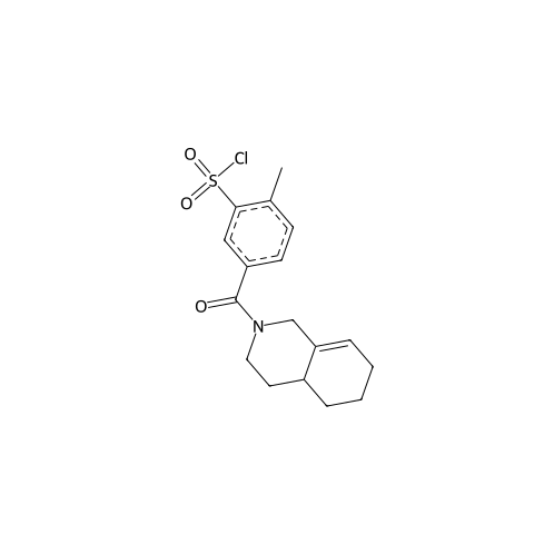 Cc1ccc(C(=O)N2CCC3CCCC=C3C2)cc1S(=O)(=O)Cl